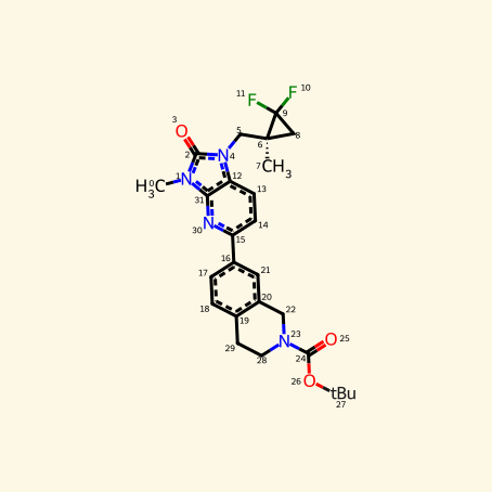 Cn1c(=O)n(C[C@]2(C)CC2(F)F)c2ccc(-c3ccc4c(c3)CN(C(=O)OC(C)(C)C)CC4)nc21